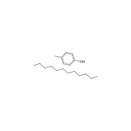 CCCCCCCCCCCC.Cc1ccc(O)cc1